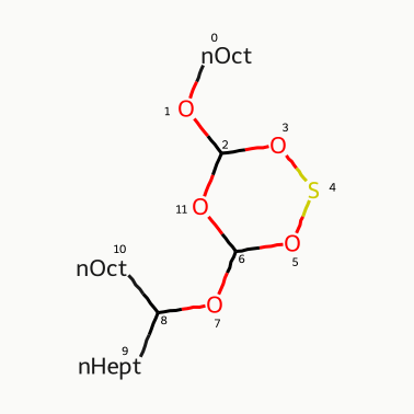 CCCCCCCCOC1OSOC(OC(CCCCCCC)CCCCCCCC)O1